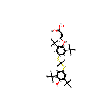 CC(C)(Sc1cc(C(C)(C)C)c(O)c(C(C)(C)C)c1)Sc1cc(C(C)(C)C)c(OC=CC(=O)O)c(C(C)(C)C)c1